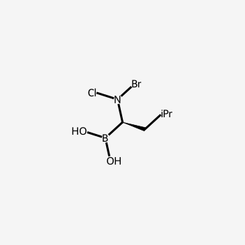 CC(C)C[C@@H](B(O)O)N(Cl)Br